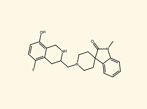 CN1C(=O)C2(CCN(CC3Cc4c(F)ccc(O)c4CN3)CC2)c2ccccc21